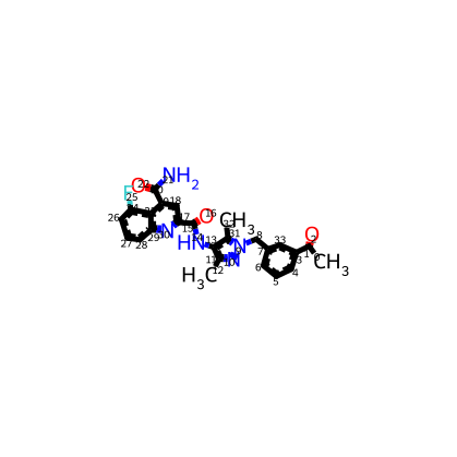 CC(=O)c1cccc(Cn2nc(C)c(NC(=O)c3cc(C(N)=O)c4c(F)cccc4n3)c2C)c1